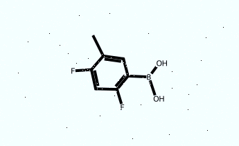 Cc1cc(B(O)O)c(F)cc1F